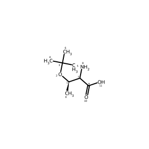 C[C@@H](OC(C)(C)C)C(N)C(=O)O